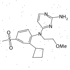 COCCN(c1ccnc(N)n1)c1ccc(S(C)(=O)=O)cc1C1CCC1